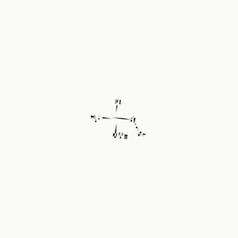 CCC(C)(OC)OC(C)=O